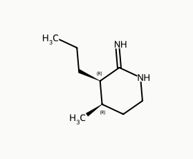 CCC[C@H]1C(=N)NCC[C@H]1C